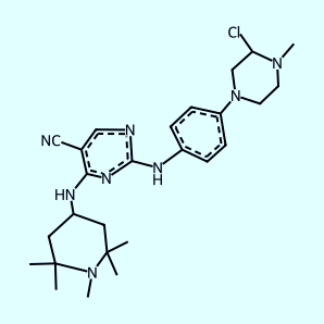 CN1CCN(c2ccc(Nc3ncc(C#N)c(NC4CC(C)(C)N(C)C(C)(C)C4)n3)cc2)CC1Cl